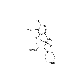 [2H]c1ccc(NS(=O)(=O)C(C(C)CCCCC)N2CCNCC2)c([2H])c1[N+](=O)[O-]